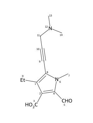 CCc1c(C(=O)O)c(C=O)n(C)c1C#CCN(C)C